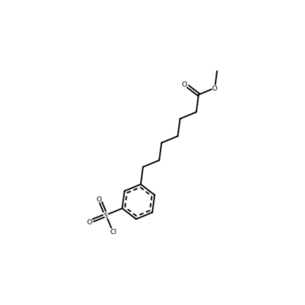 COC(=O)CCCCCCc1cccc(S(=O)(=O)Cl)c1